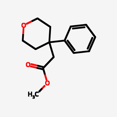 COC(=O)CC1(c2ccccc2)CCOCC1